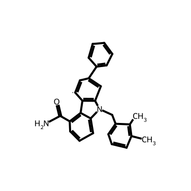 Cc1cccc(Cn2c3cc(-c4ccccc4)c[c]c3c3c(C(N)=O)cccc32)c1C